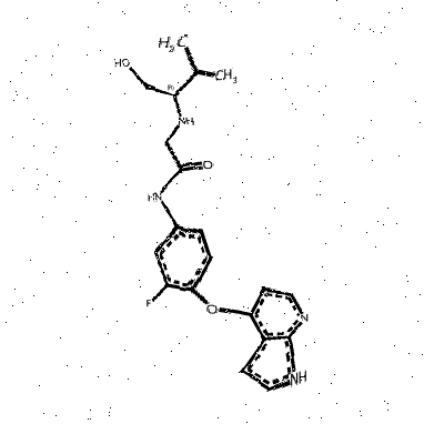 CC(C)[C@H](CO)NCC(=O)Nc1ccc(Oc2ccnc3[nH]ccc23)c(F)c1